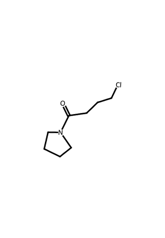 O=C(CCCCl)N1CCCC1